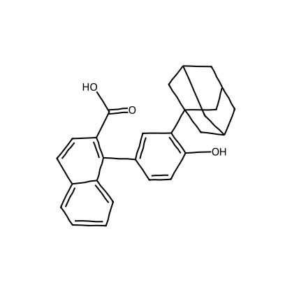 O=C(O)c1ccc2ccccc2c1-c1ccc(O)c(C23CC4CC(CC(C4)C2)C3)c1